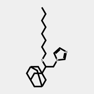 CCCCCCCCSC(Cn1ccnc1)C12CC3CC(CC(C3)C1)C2